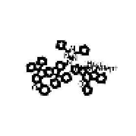 CCCCCCCC1(CCCCCCC)c2cc(N(c3ccc4c(c3)C(c3ccccc3)(c3ccccc3)c3cc5c(cc3-4)C(c3ccccc3)(c3ccccc3)c3ccc4oc6ccccc6c4c3-5)c3nc(-c4ccccc4)nc(-c4ccccc4)n3)ccc2-c2c1c1c(c3c2oc2ccccc23)-c2ccccc2C1(CCCCCCC)CCCCCCC